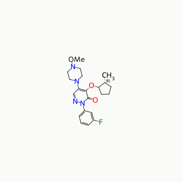 CON1CCN(c2cnn(-c3cccc(F)c3)c(=O)c2OC2CCC[C@H]2C)CC1